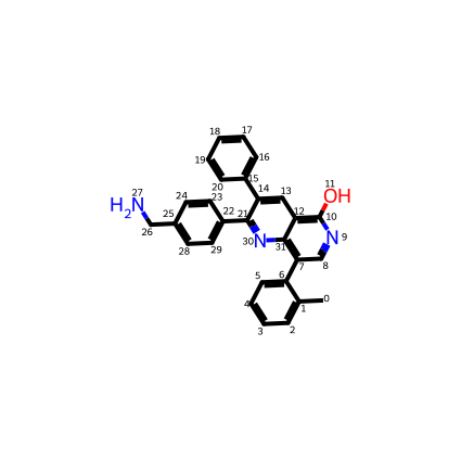 Cc1ccccc1-c1cnc(O)c2cc(-c3ccccc3)c(-c3ccc(CN)cc3)nc12